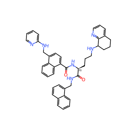 O=C(N[C@@H](CCCNC1CCCc2cccnc21)C(=O)NCc1cccc2ccccc12)c1ccc(CNc2ccccn2)c2ccccc12